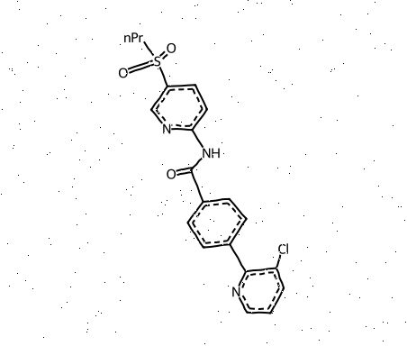 CCCS(=O)(=O)c1ccc(NC(=O)c2ccc(-c3ncccc3Cl)cc2)nc1